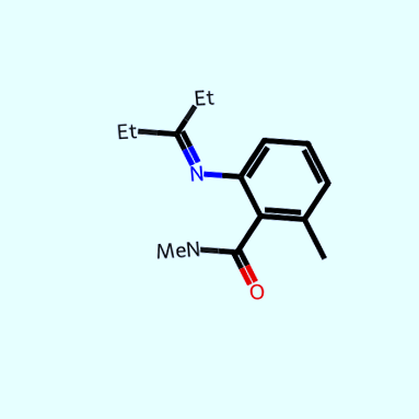 CCC(CC)=Nc1cccc(C)c1C(=O)NC